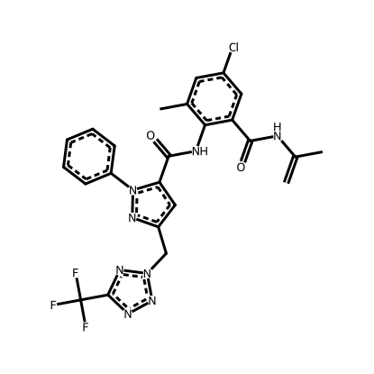 C=C(C)NC(=O)c1cc(Cl)cc(C)c1NC(=O)c1cc(Cn2nnc(C(F)(F)F)n2)nn1-c1ccccc1